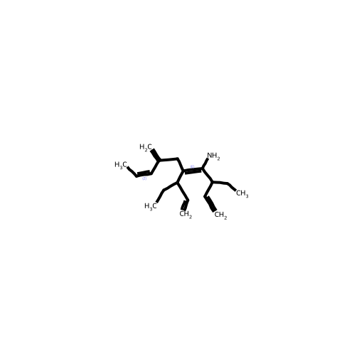 C=CC(CC)/C(N)=C(/CC(=C)/C=C\C)C(C=C)CC